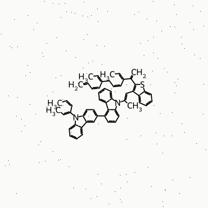 C=C/C=C\C(=C/C)C/C=C\C(=C/C)C(=C)c1sc2ccccc2c1/C=C(\C)n1c2ccccc2c2c(-c3ccc4c(c3)c3ccccc3n4C(/C=C\C)=C/C)cccc21